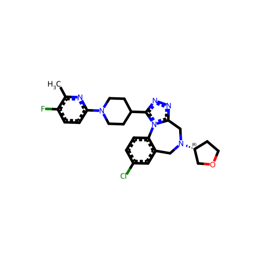 Cc1nc(N2CCC(c3nnc4n3-c3ccc(Cl)cc3CN([C@@H]3CCOC3)C4)CC2)ccc1F